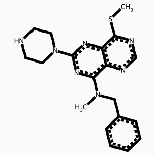 CSc1ncnc2c(N(C)Cc3ccccc3)nc(N3CCNCC3)nc12